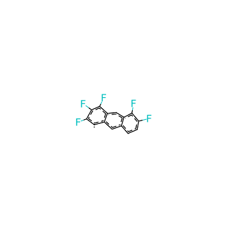 Fc1[c]c2cc3ccc(F)c(F)c3cc2c(F)c1F